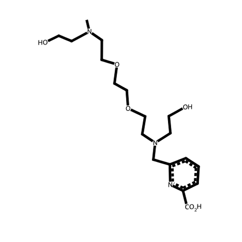 CN(CCO)CCOCCOCCN(CCO)Cc1cccc(C(=O)O)n1